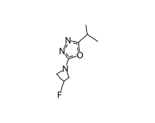 CC(C)c1nnc(N2CC(F)C2)o1